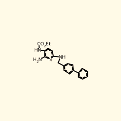 CCOC(=O)Nc1ccc(NCc2ccc(-c3ccccc3)cc2)nc1N